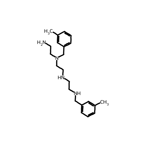 Cc1cccc(CNCCNCCN(CCN)Cc2cccc(C)c2)c1